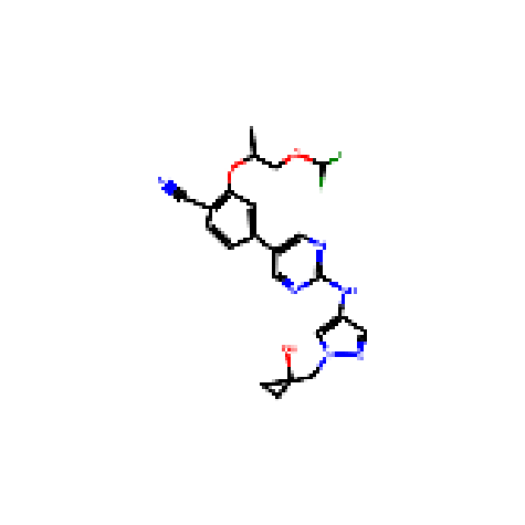 CC(COC(F)F)Oc1cc(-c2cnc(Nc3cnn(CC4(O)CC4)c3)nc2)ccc1C#N